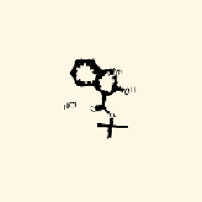 CC(C)(C)OC(=O)c1c(O)[nH]c2ccccc12.Cl